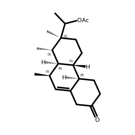 CC(=O)OC(C)[C@@]1(C)CC[C@H]2[C@@H]([C@H](C)C=C3CC(=O)CC[C@@H]32)[C@@H]1C